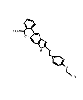 CCOc1ccc(CCc2nc3cc(-c4ccccc4C(C)O)ccc3[nH]2)cc1